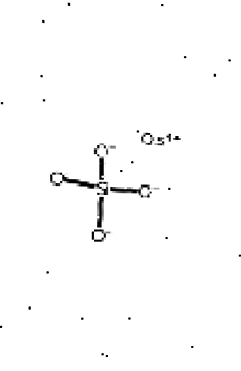 [O-][Si]([O-])([O-])[O-].[Os+4]